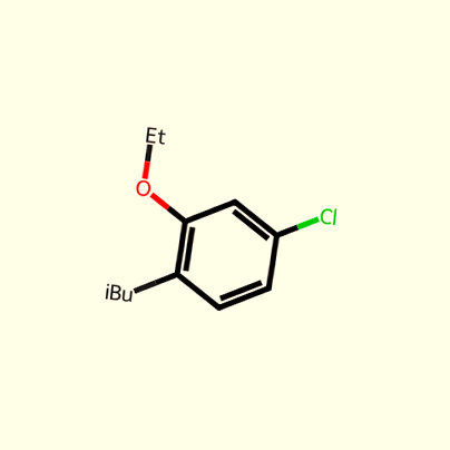 CCOc1cc(Cl)ccc1C(C)CC